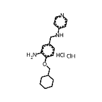 Cl.Cl.Nc1cc(CNc2ccncc2)ccc1OCC1CCCCC1